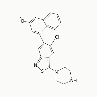 COc1cc(-c2cc3nsc(N4CCNCC4)c3cc2Cl)c2ccccc2c1